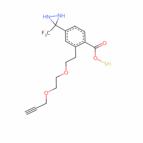 C#CCOCCOCCc1cc(C2(C(F)(F)F)NN2)ccc1C(=O)OS